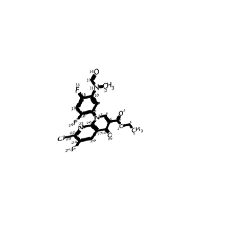 CCOC(=O)c1cn(-c2cc(N(C)C=O)c(F)cc2F)c2nc(Cl)c(F)cc2c1=O